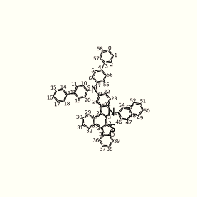 c1ccc(-c2ccc(N(c3ccc(-c4ccccc4)cc3)c3ccc4c(c3)c3c5ccccc5c5c6ccccc6sc5c3n4-c3ccc4ccccc4c3)cc2)cc1